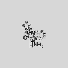 Nc1nc2c([nH]1)c(=O)n(CC1CCCCC1)c(=O)n2CC1CCCCC1